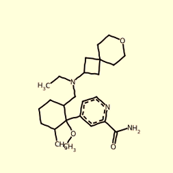 CCN(CC1CCCC(C)C1(OC)c1ccnc(C(N)=O)c1)C1CC2(CCOCC2)C1